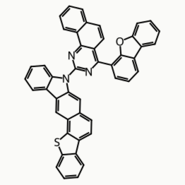 c1ccc2c(c1)ccc1c(-c3cccc4c3oc3ccccc34)nc(-n3c4ccccc4c4cc5c(ccc6c7ccccc7sc56)cc43)nc12